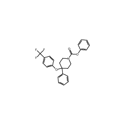 O=C(Oc1ccccc1)N1CCC(Oc2ccc(C(F)(F)F)cc2)(c2ccccc2)CC1